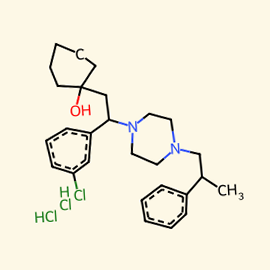 CC(CN1CCN(C(CC2(O)CCCCC2)c2cccc(Cl)c2)CC1)c1ccccc1.Cl.Cl